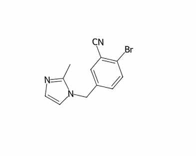 Cc1nccn1Cc1ccc(Br)c(C#N)c1